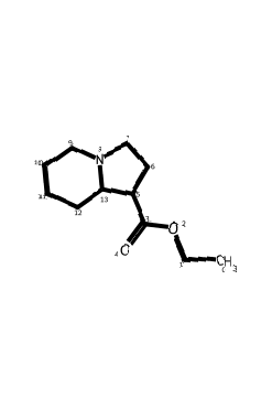 CCOC(=O)C1CCN2CCCCC12